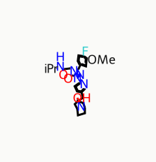 COc1cc(-c2nn(-c3ccc(CCN4C5CCC4CC(O)C5)cn3)c(=O)n2CC(=O)NC(C)C)ccc1F